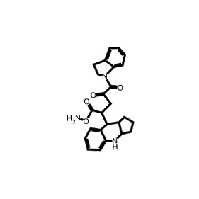 NOC(=O)C(CC(=O)C(=O)N1CCc2ccccc21)C1c2ccccc2NC2CCCC21